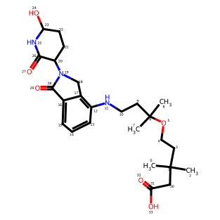 CC(C)(CCOC(C)(C)CCNc1cccc2c1CN(C1CCC(O)NC1=O)C2=O)CC(=O)O